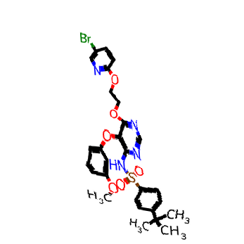 COc1cccc(Oc2c(NS(=O)(=O)c3ccc(C(C)(C)C)cc3)ncnc2OCCOc2ccc(Br)cn2)c1